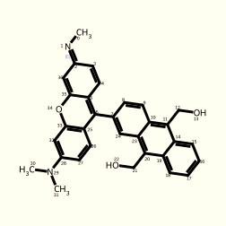 C/N=c1\ccc2c(-c3ccc4c(CO)c5ccccc5c(CO)c4c3)c3ccc(N(C)C)cc3oc-2c1